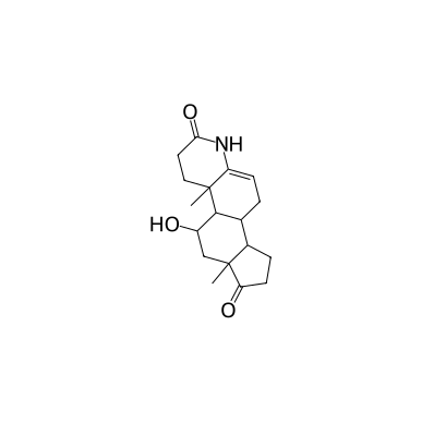 CC12CC(O)C3C(CC=C4NC(=O)CCC43C)C1CCC2=O